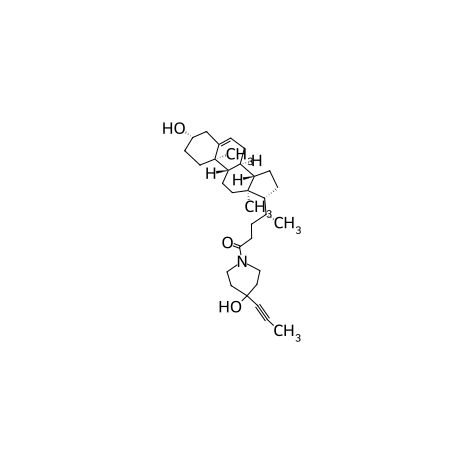 CC#CC1(O)CCN(C(=O)CC[C@@H](C)[C@H]2CC[C@H]3[C@@H]4CC=C5C[C@@H](O)CC[C@]5(C)[C@H]4CC[C@]23C)CC1